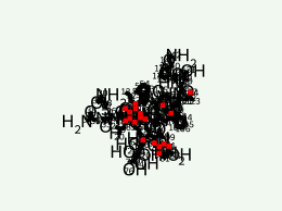 CCCC[C@@H](C(=O)N(C)[C@@H](CCCC)C(=O)N[C@@H](CC(C)C)C(=O)N[C@@H](CSCC(N)=O)C(=O)NCC(N)=O)N(C)C(=O)[C@H](Cc1cn(CC(=O)O)c2ccccc12)NC(=O)[C@H](CCC(NC[C@H](O)[C@H](O)[C@@H](O)[C@@H](O)CO)[C@@H](Cc1ccc(O)cc1)C(=O)N(C)[C@@H](C)C(N)=O)NC(=O)[C@H](Cc1c[nH]c2ccccc12)NC(=O)[C@@H]1C[C@@H](O)CN1C(=O)[C@H](CC(C)C)NC(=O)[C@H](CNO)NC(=O)[C@@H]1CCCN1CON